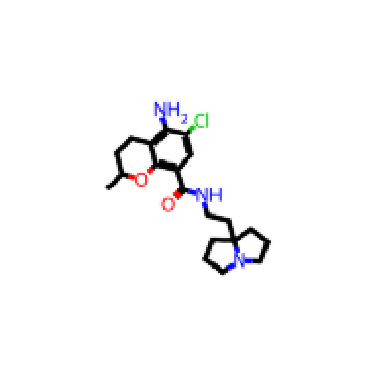 CC1CCc2c(N)c(Cl)cc(C(=O)NCCC34CCCN3CCC4)c2O1